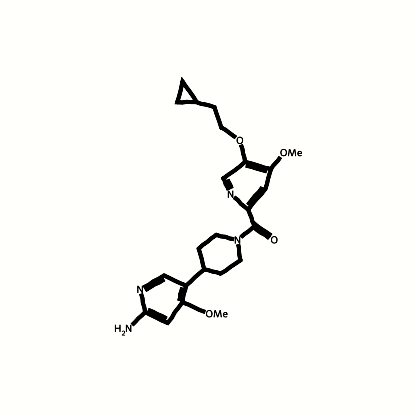 COc1cc(C(=O)N2CCC(c3cnc(N)cc3OC)CC2)ncc1OCCC1CC1